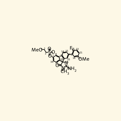 COCCS(=O)(=O)Oc1ccc(C2(c3cccc(-c4cc(OC)ccc4F)c3)N=C(N)N(C)C2=O)cc1